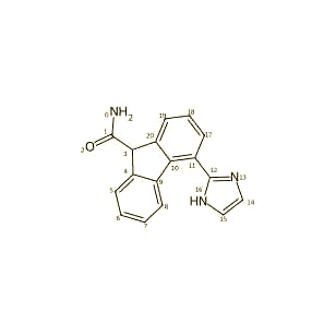 NC(=O)C1c2ccccc2-c2c(-c3ncc[nH]3)cccc21